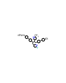 CCCCCc1ccc(-c2ccc(C(Cc3ccc(F)nc3)C(Cc3ccc(-c4ccc(CC)cc4)cc3)c3ccc(C(F)(F)F)nc3)cc2)cc1